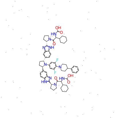 O=C(O)N[C@H](C(=O)N1CCC[C@H]1c1nc2cc([C@H]3CC[C@H](c4ccc5[nH]c([C@@H]6CCCN6C(=O)[C@@H](NC(=O)O)C6CCCCC6)nc5c4)N3c3cc(F)c(N4CCC(c5ccccc5)CC4)c(F)c3)ccc2[nH]1)C1CCCCC1